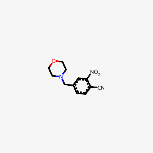 N#Cc1ccc(CN2CCOCC2)cc1[N+](=O)[O-]